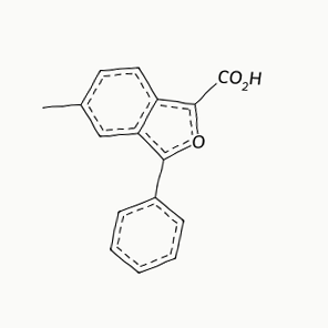 Cc1ccc2c(C(=O)O)oc(-c3ccccc3)c2c1